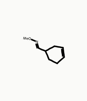 CO/N=C/C1CC=CCC1